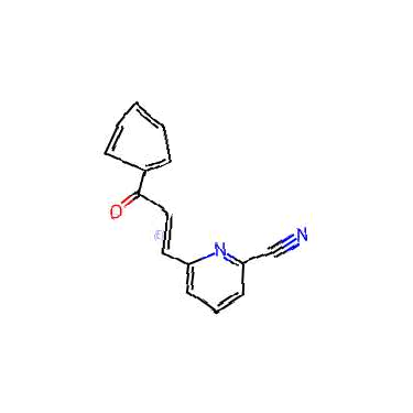 N#Cc1cccc(/C=C/C(=O)c2ccccc2)n1